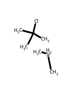 CC(C)(C)Cl.C[SiH2]C